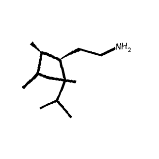 CC(C)C1(C)C(C)[C@@H](C)[C@H]1CCN